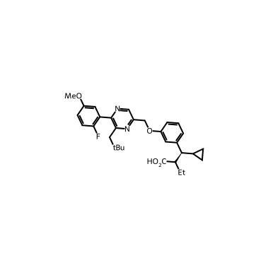 CCC(C(=O)O)[C@@H](c1cccc(OCc2cnc(-c3cc(OC)ccc3F)c(CC(C)(C)C)n2)c1)C1CC1